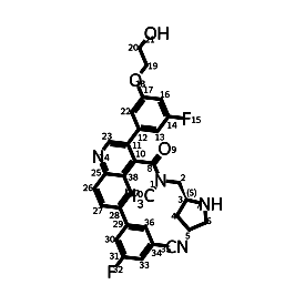 CN(C[C@@H]1CCCN1)C(=O)c1c(-c2cc(F)cc(OCCO)c2)cnc2ccc(-c3cc(F)cc(C#N)c3)cc12